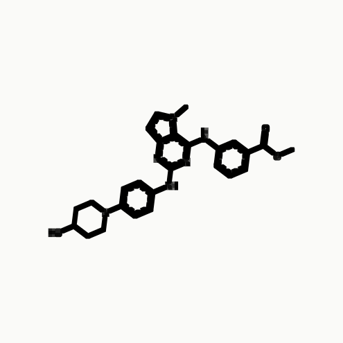 COC(=O)c1cccc(Nc2nc(Nc3ccc(N4CCC(O)CC4)cc3)nc3ccn(C)c23)c1